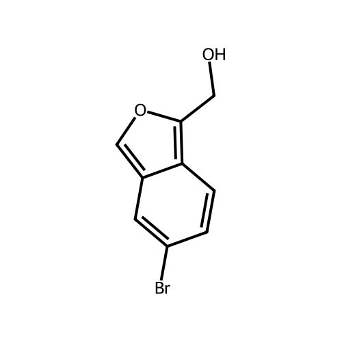 OCc1occ2cc(Br)ccc12